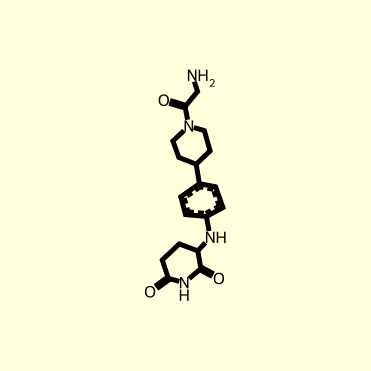 NCC(=O)N1CCC(c2ccc(NC3CCC(=O)NC3=O)cc2)CC1